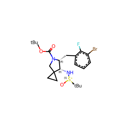 CC(C)(C)OC(=O)N1CC2(CC2)[C@@H](N[S@+]([O-])C(C)(C)C)[C@H]1Cc1cccc(Br)c1F